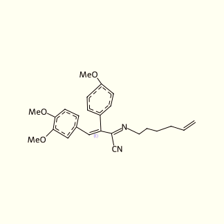 C=CCCCCN=C(C#N)/C(=C/c1ccc(OC)c(OC)c1)c1ccc(OC)cc1